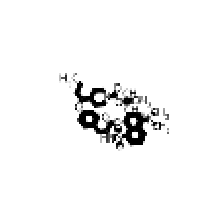 CCCC(Oc1ccc(CC(NS(=O)(=O)c2cccc3c(N(C)C)cccc23)C(=O)O)cc1)C1CCN(C(=O)OC(C)(C)C)CC1